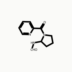 O=CNC1CCCN1C(=O)c1ccccn1